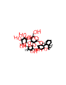 CCCCCc1cc(O[C@@H]2O[C@H](CO)[C@@H](O)[C@H](O[C@@H]3O[C@H](CO)[C@@H](O)[C@H](O)[C@H]3O)[C@H]2O[C@@H]2O[C@H](CO)[C@@H](C)[C@H](O)[C@H]2O)c2c(c1)OC(C)(C)[C@@H]1CCC=C[C@@H]21